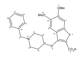 COc1cc2sc(C(=O)O)c(OC3CCN(Cc4ccccc4)CC3)c2cc1OC